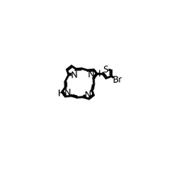 Brc1csc(-c2cc3cc4nc(cc5ccc(cc6nc(cc2[nH]3)C=C6)[nH]5)C=C4)c1